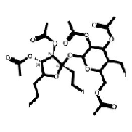 CC(=O)OCC1OC(O[C@]2(CCI)OC(CCI)[C@H](OC(C)=O)[C@H]2OC(C)=O)C(OC(C)=O)C(OC(C)=O)C1CI